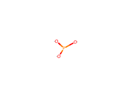 [O]P([O])[O]